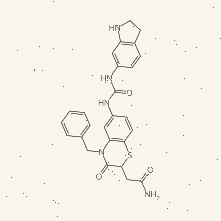 NC(=O)CC1Sc2ccc(NC(=O)Nc3ccc4c(c3)NCC4)cc2N(Cc2ccccc2)C1=O